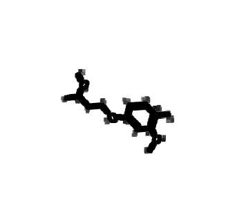 COc1cc(OCCC(C)OC)ccc1C